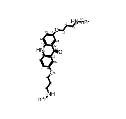 CCCNCCCOc1ccc2[nH]c3ccc(OCCCNCCC)cc3c(=O)c2c1